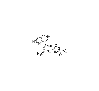 C=C[C@@H]1C[C@]1(NC(=O)C1CNCc2c[nH]nc21)C(=O)NS(=O)(=O)C1CC1